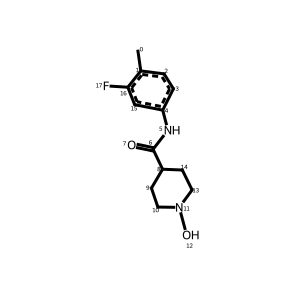 Cc1ccc(NC(=O)C2CCN(O)CC2)cc1F